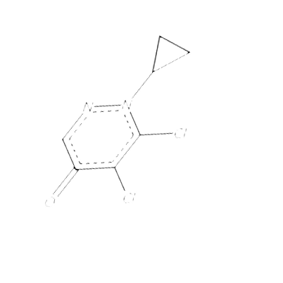 O=c1cnn(C2CC2)c(Cl)c1Cl